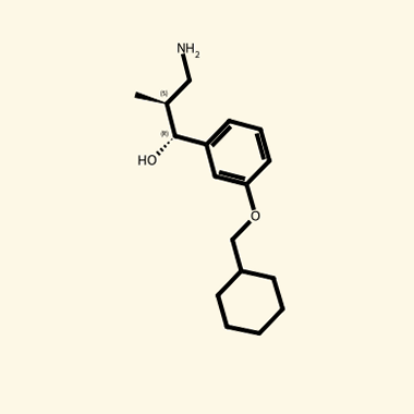 C[C@@H](CN)[C@@H](O)c1cccc(OCC2CCCCC2)c1